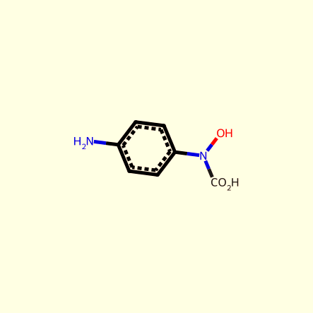 Nc1ccc(N(O)C(=O)O)cc1